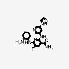 NC(=O)c1cc(F)c(N[C@@H]2CCCC[C@@H]2N)nc1Nc1cncc(-n2ccnn2)c1